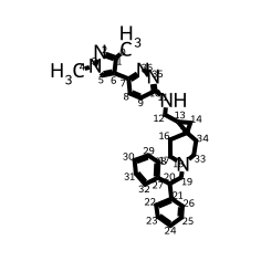 Cc1nn(C)cc1-c1ccc(NCC2CC23CCN(CC(c2ccccc2)c2ccccc2)CC3)nn1